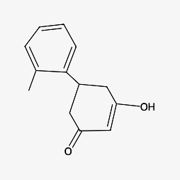 Cc1ccccc1C1CC(=O)C=C(O)C1